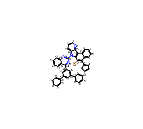 Sc1c(C2=CC=CC2)c2ccccc2c2c3ncccc3n(-c3nc(-c4cc(-c5ccccc5)cc(-c5ccccc5)c4)c4ccccc4n3)c12